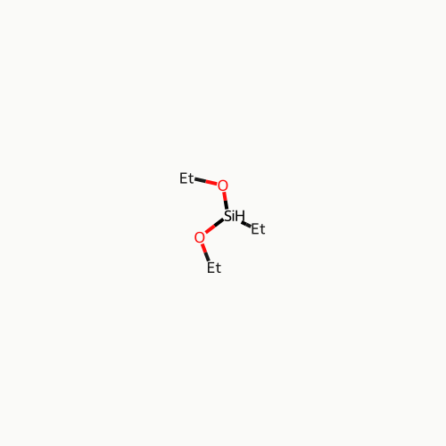 CCO[SiH](CC)OCC